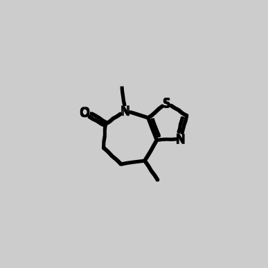 CC1CCC(=O)N(C)c2scnc21